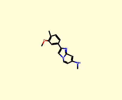 CNc1ccn2cc(-c3ccc(C)c(OC)c3)nc2c1